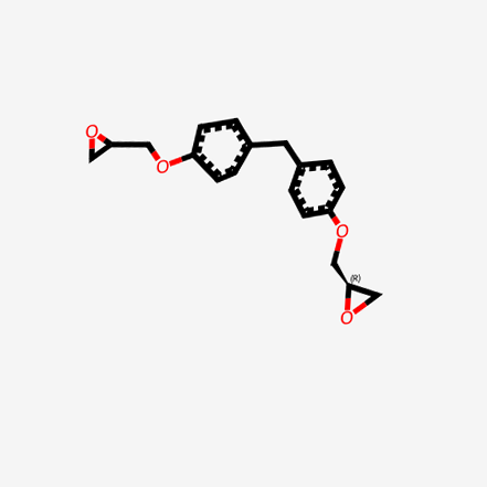 c1cc(OCC2CO2)ccc1Cc1ccc(OC[C@H]2CO2)cc1